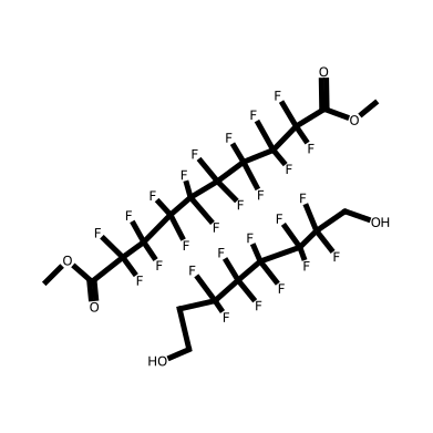 COC(=O)C(F)(F)C(F)(F)C(F)(F)C(F)(F)C(F)(F)C(F)(F)C(F)(F)C(F)(F)C(=O)OC.OCCC(F)(F)C(F)(F)C(F)(F)C(F)(F)C(F)(F)CO